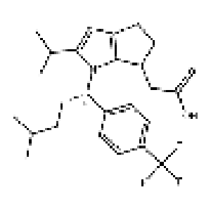 CC(C)CC[C@@H](c1ccc(C(F)(F)F)cc1)n1c(C(C)C)cc2c1C(CC(=O)O)CC2